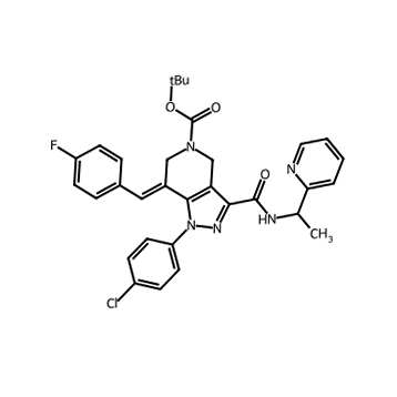 CC(NC(=O)c1nn(-c2ccc(Cl)cc2)c2c1CN(C(=O)OC(C)(C)C)CC2=Cc1ccc(F)cc1)c1ccccn1